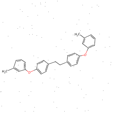 Cc1cccc(Oc2ccc(CCc3ccc(Oc4cccc(C)c4)cc3)cc2)c1